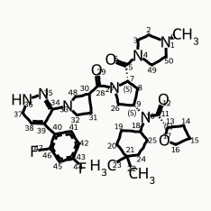 CN1CCN(C(=O)[C@@H]2C[C@H](N(C(=O)[C@@H]3CCCO3)C3CCC(C)(C)CC3)CN2C(=O)C2CCN(C3=NNCC=C3c3ccc(F)cc3F)C2)CC1